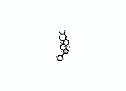 CN1CC[C@@]2(C)C(=CC1=O)CC[C@H]1C3=CC=C(c4cnccn4)[C@@]3(C)CC[C@@H]12